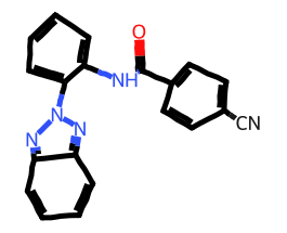 N#Cc1ccc(C(=O)Nc2ccccc2-n2nc3ccccc3n2)cc1